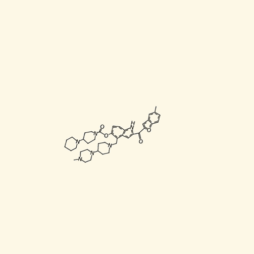 Cc1ccc2oc(C(=O)c3cc4c(CN5CCC(N6CCN(C)CC6)CC5)c(OC(=O)N5CCC(N6CCCCC6)CC5)ccc4[nH]3)cc2c1